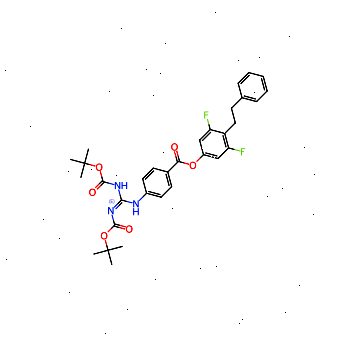 CC(C)(C)OC(=O)/N=C(/NC(=O)OC(C)(C)C)Nc1ccc(C(=O)Oc2cc(F)c(CCc3ccccc3)c(F)c2)cc1